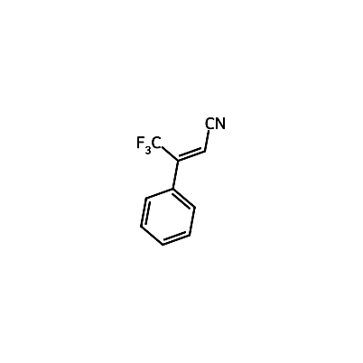 N#C/C=C(/c1ccccc1)C(F)(F)F